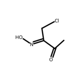 CC(=O)/C(CCl)=N/O